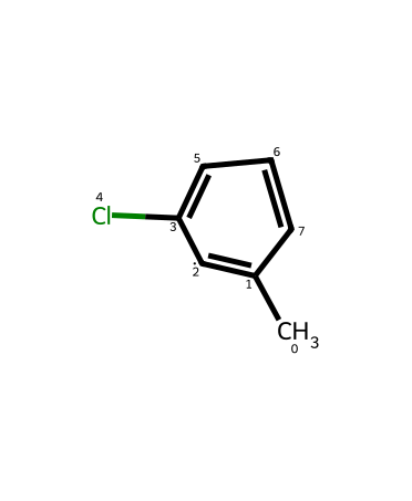 Cc1[c]c(Cl)ccc1